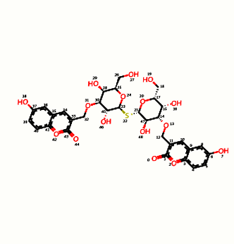 O=c1oc2ccc(O)cc2cc1CO[C@H]1[C@@H](O)[C@@H](CO)O[C@@H](S[C@@H]2O[C@H](CO)[C@H](O)[C@H](OCc3cc4cc(O)ccc4oc3=O)[C@H]2O)[C@@H]1O